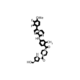 COc1ccc(-c2cnc3c(Nc4ccc(C(=O)N5CCN(C(=O)[C@@H]6C[C@@H](CO)CN6)CC5)c(C)c4)nccn23)c(F)c1F